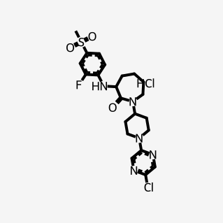 CS(=O)(=O)c1ccc(NC2CCCCN(C3CCN(c4cnc(Cl)cn4)CC3)C2=O)c(F)c1.Cl